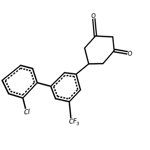 O=C1CC(=O)CC(c2cc(-c3ccccc3Cl)cc(C(F)(F)F)c2)C1